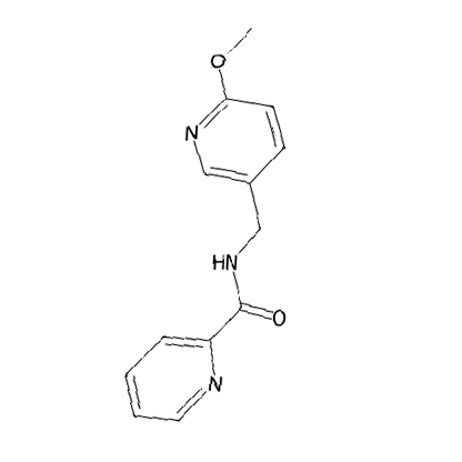 COc1ccc(CNC(=O)c2ccccn2)cn1